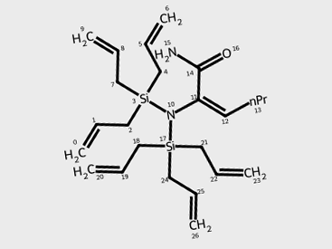 C=CC[Si](CC=C)(CC=C)N(/C(=C/CCC)C(N)=O)[Si](CC=C)(CC=C)CC=C